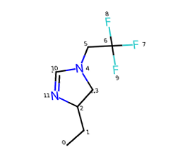 CCC1[C]N(CC(F)(F)F)[C]=N1